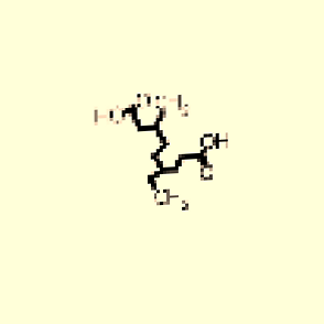 CCC(CCC(=O)O)CCC(CC)CC(=O)O